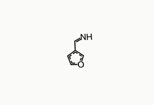 N=Cc1ccoc1